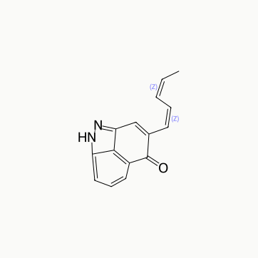 C/C=C\C=C/C1=Cc2n[nH]c3cccc(c23)C1=O